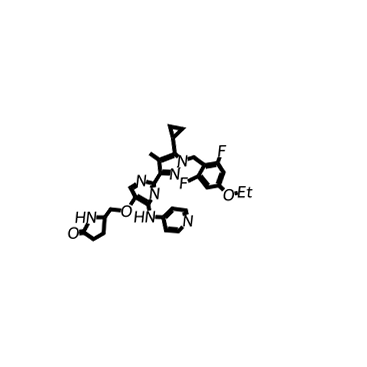 CCOc1cc(F)c(Cn2nc(-c3ncc(OCC4CCC(=O)N4)c(Nc4ccncc4)n3)c(C)c2C2CC2)c(F)c1